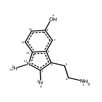 [2H]c1c(CCN)c2cc(O)ccc2n1[2H]